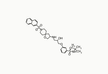 CC(C)(C)NS(=O)(=O)c1cccc(OCC(O)CNC2COC3(CCN(S(=O)(=O)c4ccc5ccccc5c4)CC3)C2)c1